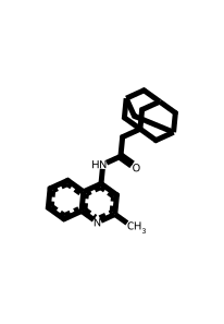 Cc1cc(NC(=O)CC23CC4CC(CC(C4)C2)C3)c2ccccc2n1